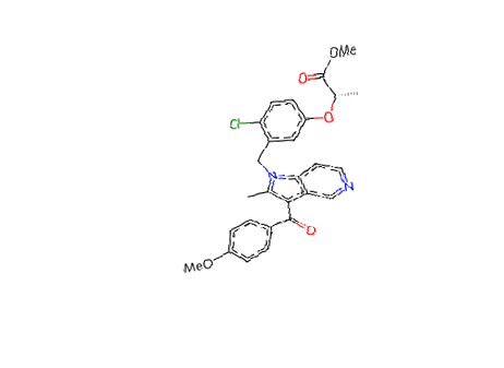 COC(=O)[C@H](C)Oc1ccc(Cl)c(Cn2c(C)c(C(=O)c3ccc(OC)cc3)c3cnccc32)c1